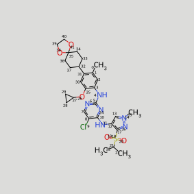 Cc1cc(Nc2ncc(Cl)c(Nc3cn(C)nc3S(=O)(=O)C(C)C)n2)c(OC2CC2)cc1C1CCC2(CC1)OCCO2